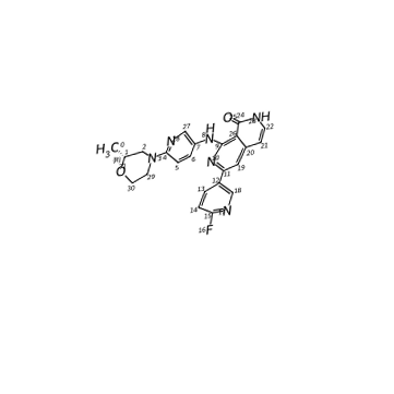 C[C@@H]1CN(c2ccc(Nc3nc(-c4ccc(F)nc4)cc4cc[nH]c(=O)c34)cn2)CCO1